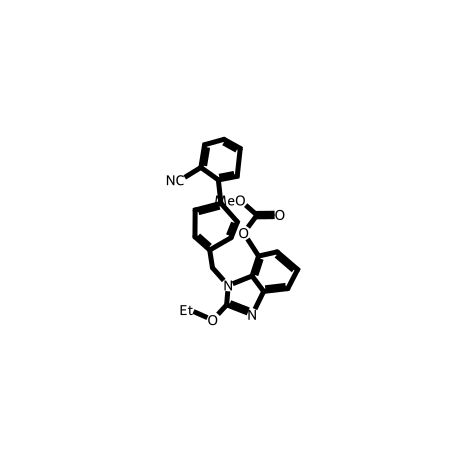 CCOc1nc2cccc(OC(=O)OC)c2n1Cc1ccc(-c2ccccc2C#N)cc1